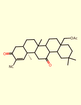 CC(=O)OCC12CCC3C(C(=O)CC4C3(C)CCC3CC(=O)C(C#N)=C[C@@]34C)C1CC(C)(C)CC2